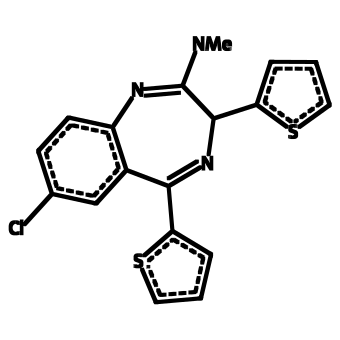 CNC1=Nc2ccc(Cl)cc2C(c2cccs2)=NC1c1cccs1